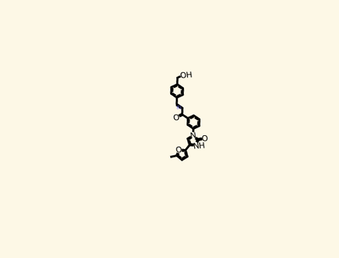 Cc1ccc(-c2cn(-c3cccc(C(=O)/C=C/c4ccc(CO)cc4)c3)c(=O)[nH]2)o1